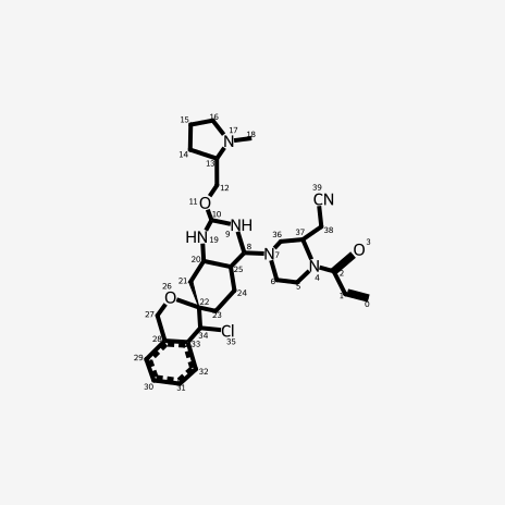 C=CC(=O)N1CCN(C2NC(OCC3CCCN3C)NC3C[C@]4(CCC32)OCc2ccccc2C4Cl)CC1CC#N